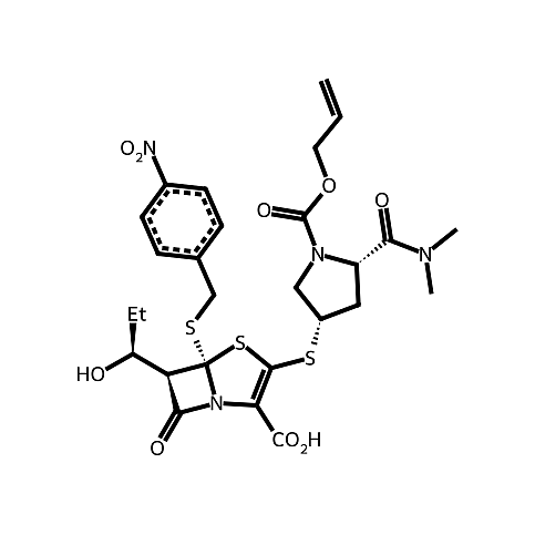 C=CCOC(=O)N1C[C@@H](SC2=C(C(=O)O)N3C(=O)[C@@H]([C@@H](O)CC)[C@@]3(SCc3ccc([N+](=O)[O-])cc3)S2)C[C@H]1C(=O)N(C)C